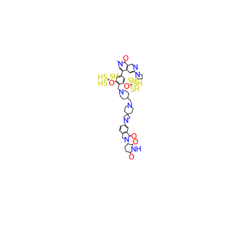 Cn1cc(-c2cc(OC(S)(S)S)c(CN3CCC(CN4CCC5(CC4)CN(c4ccc6c(c4)C(=O)N([C@H]4CCC(=O)NC4=O)C6)C5)CC3)c(OC(S)(S)S)c2)c2cc(N3CCC3)ncc2c1=O